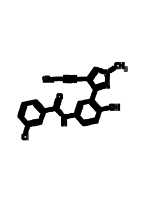 Cn1cc(C#CC(C)(C)C)c(-c2cc(NC(=O)c3cccc(Cl)c3)ccc2O)n1